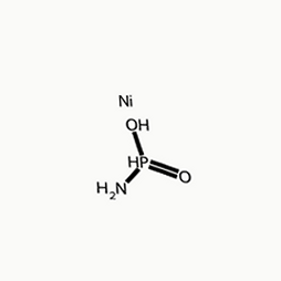 N[PH](=O)O.[Ni]